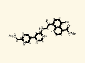 CNC(=O)c1ccnc2c([C@H](C)CNc3cc(-c4cnc(COC)nc4)ncn3)ccc(F)c12